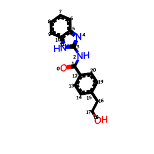 O=C(Nc1nc2ccccc2[nH]1)c1ccc(CCO)cc1